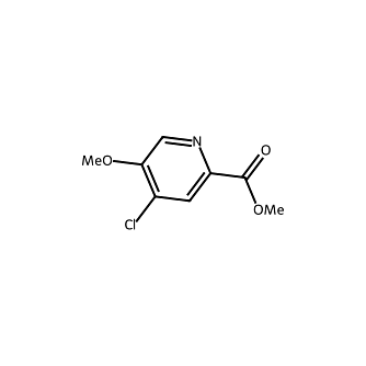 COC(=O)c1cc(Cl)c(OC)cn1